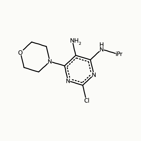 CC(C)Nc1nc(Cl)nc(N2CCOCC2)c1N